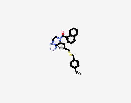 CCCC[C@]1(N)NCCN(C(=O)c2cccc3ccccc23)C1CCCSCc1ccc([N+](=O)[O-])cc1